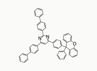 c1ccc(-c2ccc(-c3cc(-c4ccc(C5(c6ccccc6)c6ccccc6Oc6ccccc65)cc4)nc(-c4ccc(-c5ccccc5)cc4)n3)cc2)cc1